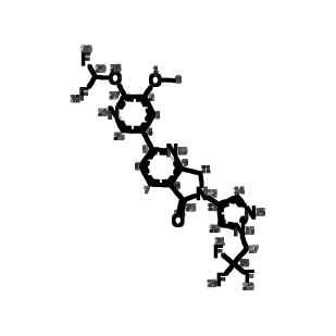 COc1cc(-c2ccc3c(n2)CN(c2cnn(CC(F)(F)F)c2)C3=O)cnc1OC(F)F